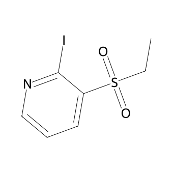 CCS(=O)(=O)c1cccnc1I